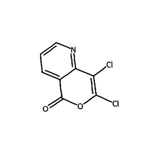 O=c1oc(Cl)c(Cl)c2ncccc12